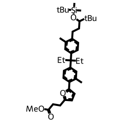 CCC(CC)(c1ccc(CCC(O[Si](C)(C)C(C)(C)C)C(C)(C)C)c(C)c1)c1ccc(-c2ccc(CCC(=O)OC)o2)c(C)c1